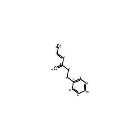 O=C(C=CBr)CCc1ccccc1